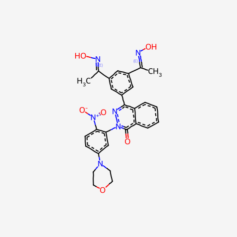 C/C(=N\O)c1cc(/C(C)=N/O)cc(-c2nn(-c3cc(N4CCOCC4)ccc3[N+](=O)[O-])c(=O)c3ccccc23)c1